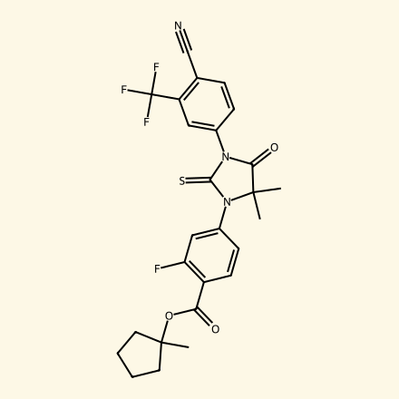 CC1(OC(=O)c2ccc(N3C(=S)N(c4ccc(C#N)c(C(F)(F)F)c4)C(=O)C3(C)C)cc2F)CCCC1